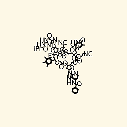 [C-]#[N+]CCOP(=O)(OCC1OC(n2cc(C)c(=O)[nH]c2=O)CC1OP(=O)(OCC[N+]#[C-])OCC1OC(n2cnc3c(NC(=O)c4ccccc4)ccnc32)CC1OC(=O)COC(=O)c1cc(C)c(C)c(C)c1)OC1CC(N2C=NC3C(=O)NC(NC(=O)C(C)C)=NC32)OC1CC